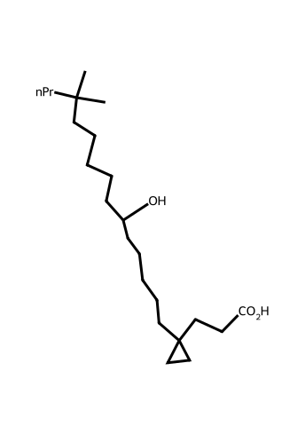 CCCC(C)(C)CCCCCC(O)CCCCCC1(CCC(=O)O)CC1